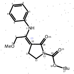 COC/C(Nc1ccccc1)=C1\CCN(C(=O)OC(C)(C)C)C1=O